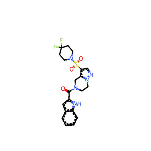 O=C(c1cc2ccccc2[nH]1)N1CCn2ncc(S(=O)(=O)N3CCC(F)(F)CC3)c2C1